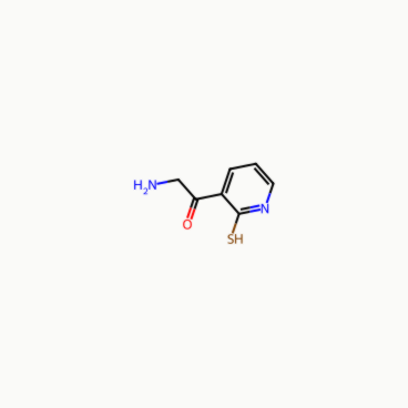 NCC(=O)c1cccnc1S